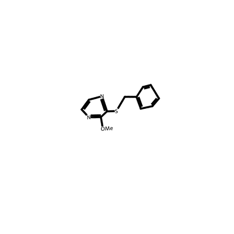 COc1nccnc1SCc1ccccc1